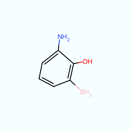 Bc1cccc(N)c1O